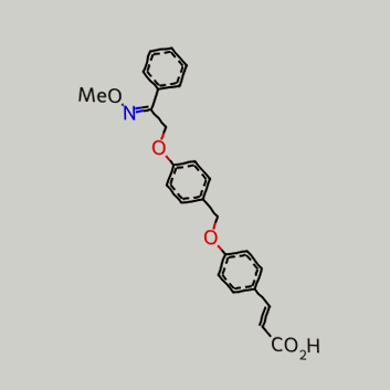 CON=C(COc1ccc(COc2ccc(C=CC(=O)O)cc2)cc1)c1ccccc1